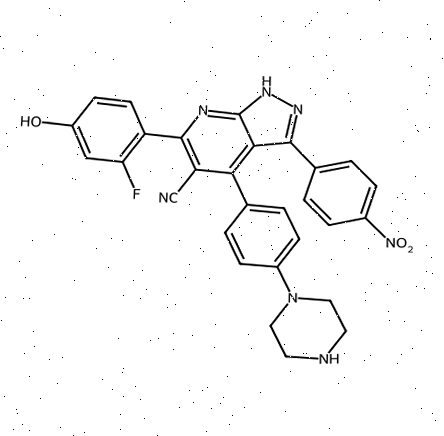 N#Cc1c(-c2ccc(O)cc2F)nc2[nH]nc(-c3ccc([N+](=O)[O-])cc3)c2c1-c1ccc(N2CCNCC2)cc1